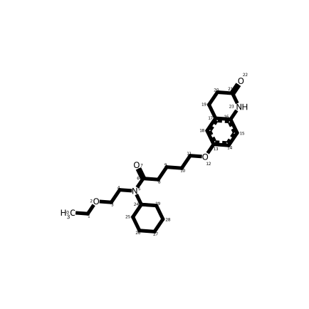 CCOCCN(C(=O)CCCCOc1ccc2c(c1)CCC(=O)N2)C1CCCCC1